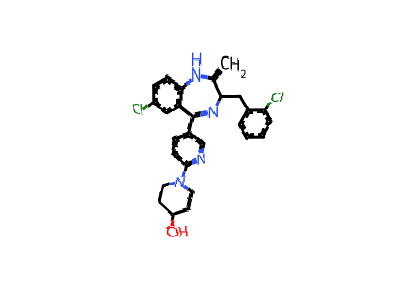 C=C1Nc2ccc(Cl)cc2C(c2ccc(N3CCC(O)CC3)nc2)=NC1Cc1ccccc1Cl